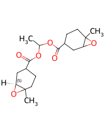 CC(OC(=O)C1CCC2(C)OC2C1)OC(=O)C1CCC2(C)O[C@H]2C1